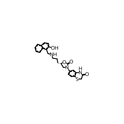 O=C1CSc2ccc(N3C[C@H](CCCNCc4c(O)ccc5ccccc45)OC3=O)cc2N1